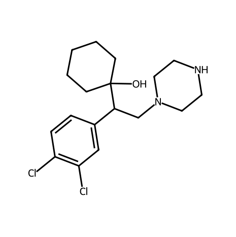 OC1(C(CN2CCNCC2)c2ccc(Cl)c(Cl)c2)CCCCC1